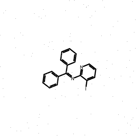 Ic1cccnc1N=C(c1ccccc1)c1ccccc1